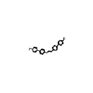 Fc1ccc(-c2ccc(CCCc3ccc(-c4ccc(F)cc4)cc3)cc2)cc1